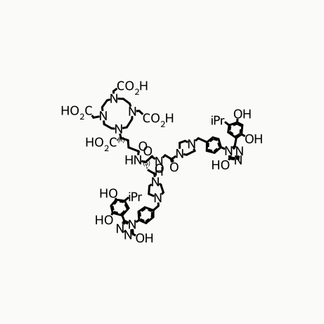 CC(C)c1cc(-c2nnc(O)n2-c2ccc(CN3CCN(C(=O)CNC(=O)[C@H](CC(=O)N4CCN(Cc5ccc(-n6c(O)nnc6-c6cc(C(C)C)c(O)cc6O)cc5)CC4)NC(=O)CC[C@H](C(=O)O)N4CCN(CC(=O)O)CCN(CC(=O)O)CCN(CC(=O)O)CC4)CC3)cc2)c(O)cc1O